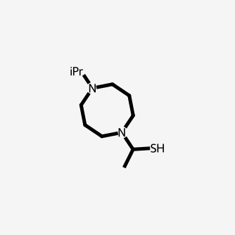 CC(C)N1CCCN(C(C)S)CCC1